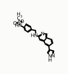 CS(=O)(=O)Nc1ccc(CNc2cc3cc(-c4cn[nH]c4)ccc3cn2)cc1